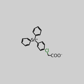 O=C([O-])CCl.c1cc[c]([Sn+]([c]2ccccc2)[c]2ccccc2)cc1